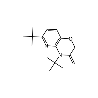 C=C1COc2ccc(C(C)(C)C)nc2N1C(C)(C)C